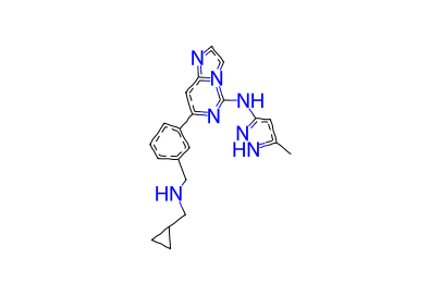 Cc1cc(Nc2nc(-c3cccc(CNCC4CC4)c3)cc3nccn23)n[nH]1